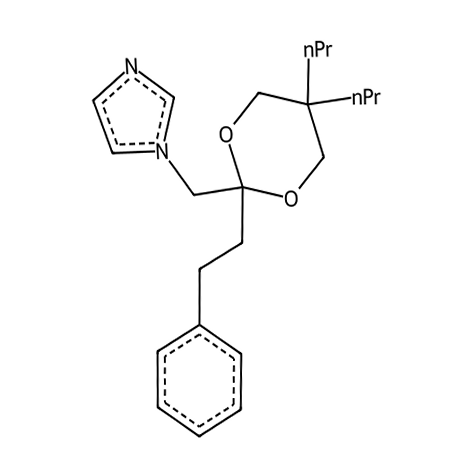 CCCC1(CCC)COC(CCc2ccccc2)(Cn2ccnc2)OC1